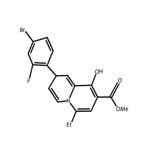 CCC1=CC(C(=O)OC)=C(O)C2=CC(c3ccc(Br)cc3F)C=CN12